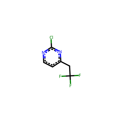 FC(F)(F)Cc1ccnc(Cl)n1